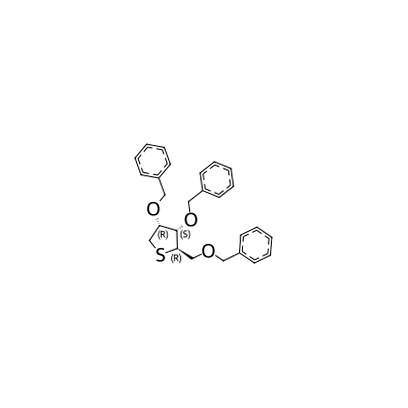 c1ccc(COC[C@H]2SC[C@H](OCc3ccccc3)[C@@H]2OCc2ccccc2)cc1